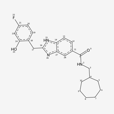 O=C(NCC1CCCCCC1)c1ccc2[nH]c(Cc3ccc(F)cc3O)nc2c1